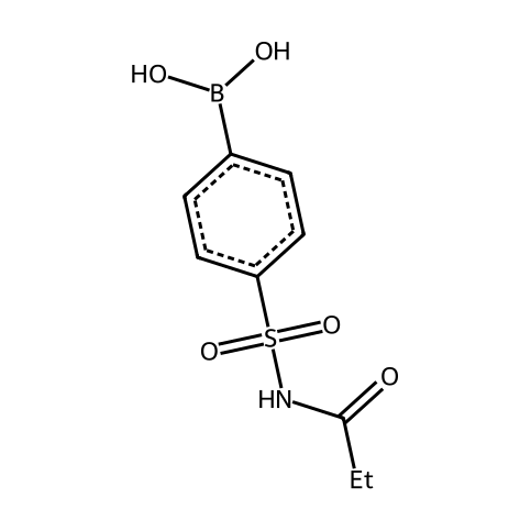 CCC(=O)NS(=O)(=O)c1ccc(B(O)O)cc1